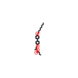 CCCCCCCCOc1ccc(-c2ccc(OCC(C)OC(=O)CCC)cc2)cc1